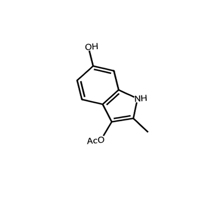 CC(=O)Oc1c(C)[nH]c2cc(O)ccc12